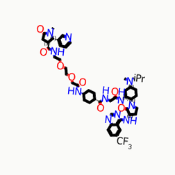 CC(C)N(C)[C@@H]1CC[C@H](N2CC[C@H](Nc3ncnc4ccc(C(F)(F)F)cc34)C2=O)[C@H](NC(=O)CNC(=O)[C@H]2CC[C@@H](NC(=O)COCCOCCNC(=O)[C@H]3CC(=O)N(C)[C@@H]3c3cccnc3)CC2)C1